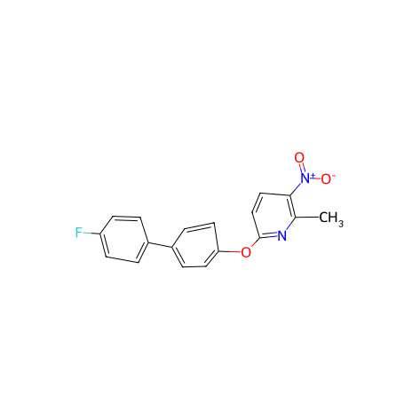 Cc1nc(Oc2ccc(-c3ccc(F)cc3)cc2)ccc1[N+](=O)[O-]